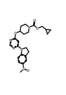 C[S+]([O-])c1ccc2c(c1)CCN2c1cc(OC2CCN(C(=O)OCC3CC3)CC2)ncn1